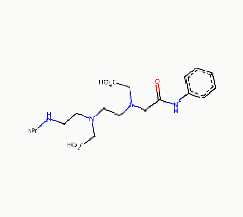 CCCNCCN(CCN(CC(=O)O)CC(=O)Nc1ccccc1)CC(=O)O